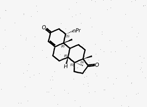 CCC[C@H]1CC(=O)C=C2CC[C@@H]3C(CC[C@]4(C)C(=O)CC[C@@]34C)[C@]21C